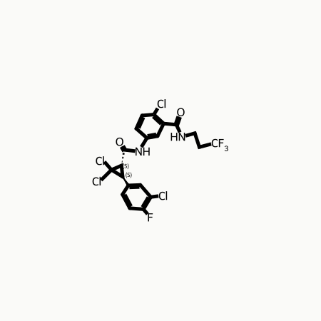 O=C(NCCC(F)(F)F)c1cc(NC(=O)[C@@H]2[C@@H](c3ccc(F)c(Cl)c3)C2(Cl)Cl)ccc1Cl